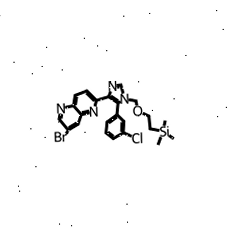 C[Si](C)(C)CCOCn1cnc(-c2ccc3ncc(Br)cc3n2)c1-c1cccc(Cl)c1